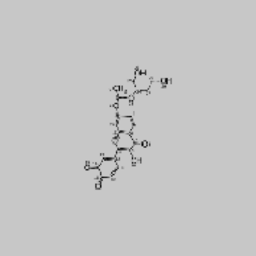 CC(Oc1ccc2c(=O)c(O)c(C3=CC(=O)C(=O)C=C3)oc2c1)OC(CO)CCO